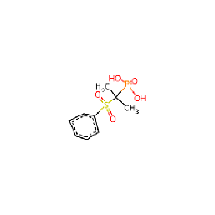 CC(C)(P(=O)(O)O)S(=O)(=O)c1ccccc1